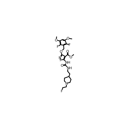 COC(=O)c1c(OCc2c(F)c(OC)cc(OC)c2F)nsc1NC(=O)NCCC1CCN(CCF)CC1